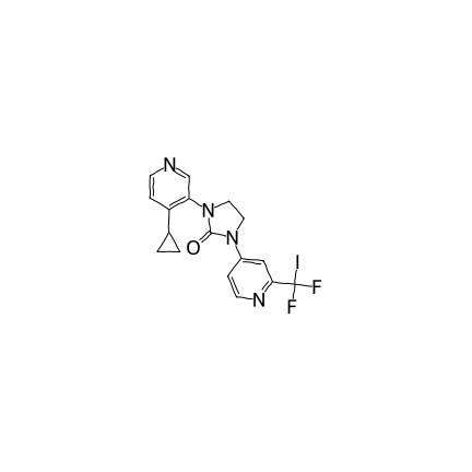 O=C1N(c2ccnc(C(F)(F)I)c2)CCN1c1cnccc1C1CC1